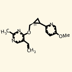 C=Cc1cnc(C)nc1OC[C@H]1CC1c1ccc(OC)cn1